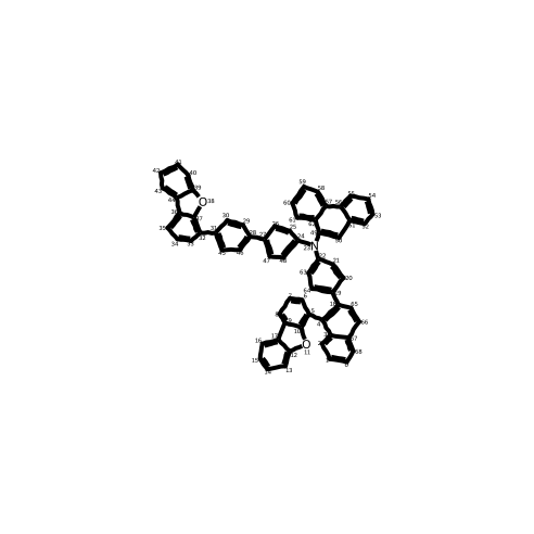 c1ccc2c(-c3cccc4c3oc3ccccc34)c(-c3ccc(N(c4ccc(-c5ccc(-c6cccc7c6oc6ccccc67)cc5)cc4)c4cc5ccccc5c5ccccc45)cc3)ccc2c1